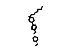 CCCCCCCC1(C)CCC(c2ccc(CC[C@H]3CC[C@H](CC)CC3)cc2)CC1